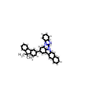 CC1(C)c2ccccc2-c2cc(-c3cc4c5cc6ccccc6cc5n5c4c(c3)n3c4ccccc4nc35)ccc21